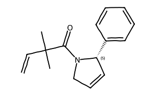 C=CC(C)(C)C(=O)N1CC=C[C@H]1c1ccccc1